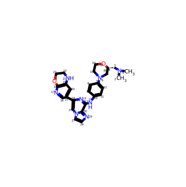 CN(C)C[C@@H]1CN(c2ccc(Nc3nc(-c4cnc5c(c4)NCCO5)cn4ccnc34)cc2)CCO1